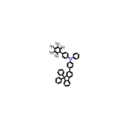 [2H]c1c([2H])c([2H])c(-c2ccc(N(c3ccccc3)c3ccc(-c4ccc5c(c4)C(c4ccccc4)(c4ccccc4)c4ccccc4-5)cc3)cc2)c([2H])c1[2H]